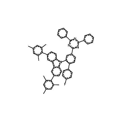 Cc1cc(C)c(-c2ccc3c(c2)c2cc(-c4c(C)cc(C)cc4C)ccc2n3-c2cc(-c3nc(-c4ccccc4)nc(-c4ccccc4)n3)ccc2-c2ccc(F)cc2)c(C)c1